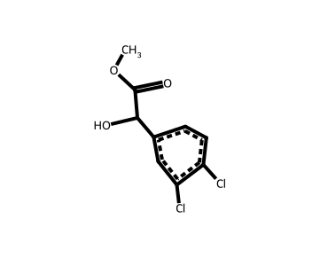 COC(=O)C(O)c1ccc(Cl)c(Cl)c1